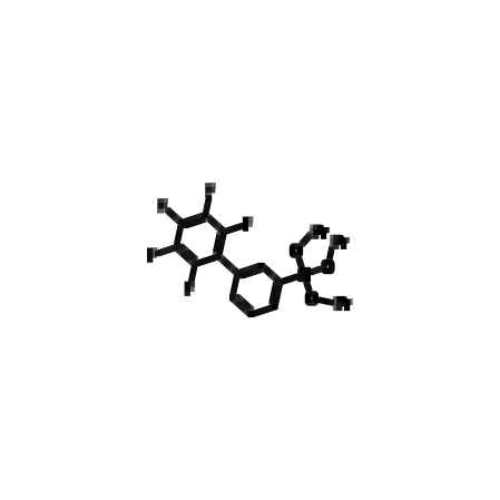 CC(C)O[Si](OC(C)C)(OC(C)C)c1cccc(-c2c(F)c(F)c(F)c(F)c2F)c1